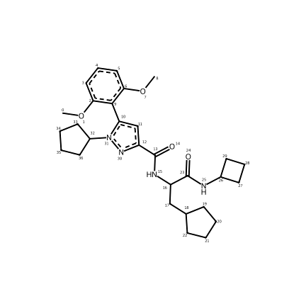 COc1cccc(OC)c1-c1cc(C(=O)NC(CC2CCCC2)C(=O)NC2CCC2)nn1C1CCCC1